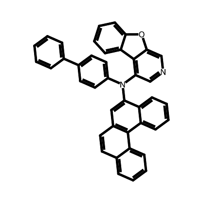 c1ccc(-c2ccc(N(c3cc4ccc5ccccc5c4c4ccccc34)c3cncc4oc5ccccc5c34)cc2)cc1